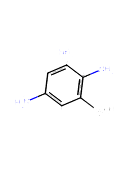 N.Nc1ccc(N)c(S(=O)(=O)O)c1